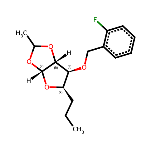 CCC[C@H]1O[C@@H]2OC(C)O[C@@H]2[C@H]1OCc1ccccc1F